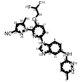 Cc1ccc(Nc2ccc3c(c2)ncn3-c2ccc(OCC(F)F)c(-n3nc(C#N)cc3C)n2)nn1